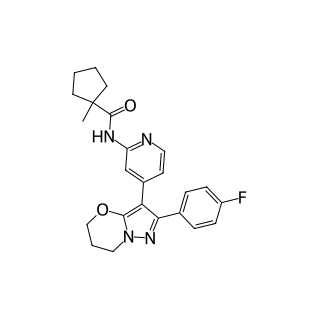 CC1(C(=O)Nc2cc(-c3c(-c4ccc(F)cc4)nn4c3OCCC4)ccn2)CCCC1